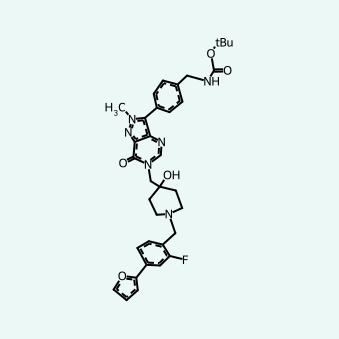 Cn1nc2c(=O)n(CC3(O)CCN(Cc4ccc(-c5ccco5)cc4F)CC3)cnc2c1-c1ccc(CNC(=O)OC(C)(C)C)cc1